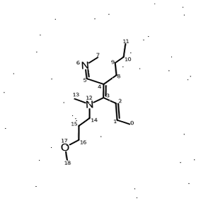 C/C=C/C(=C(/C=N\C)CCCC)N(C)CCCOC